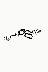 CCCSSC1=CC=CC(CCC)(c2ccccc2)C1